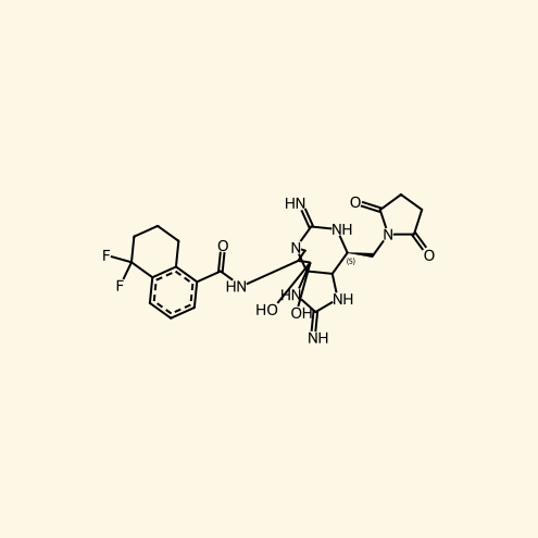 N=C1NC2[C@H](CN3C(=O)CCC3=O)NC(=N)N3CC(NC(=O)c4cccc5c4CCCC5(F)F)C(O)(O)C23N1